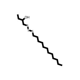 CCCCCCCCCCCCSSSCC(O)CC